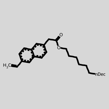 C=Cc1ccc2cc(CC(=O)OCCCCCCCCCCCCCCCC)ccc2c1